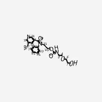 O=C(NCCOCCO)OCCN(C(=O)c1cncc(Br)c1)c1ccccc1